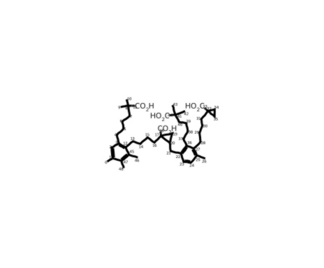 Cc1cc(CCCCC(C)(C)C(=O)O)c(CCCCC2(C(=O)O)CC2Cc2ccc(C)c(CCCCC3(C(=O)O)CC3)c2CCCCC(C)(C)C(=O)O)c(C)c1C